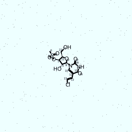 CS(=O)(=O)O[C@@H]1[C@@H](O)[C@H](n2cc(C=CCl)c(=O)[nH]c2=O)O[C@@H]1CO